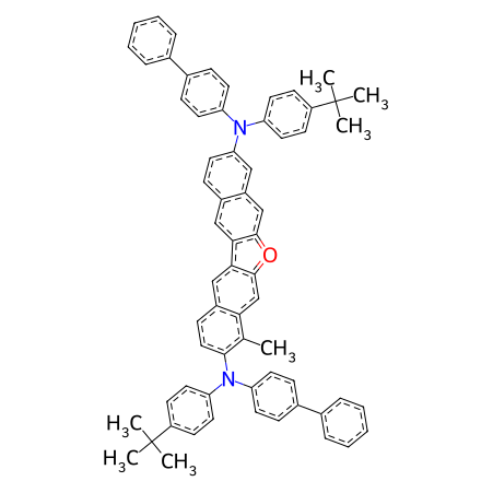 Cc1c(N(c2ccc(-c3ccccc3)cc2)c2ccc(C(C)(C)C)cc2)ccc2cc3c(cc12)oc1cc2cc(N(c4ccc(-c5ccccc5)cc4)c4ccc(C(C)(C)C)cc4)ccc2cc13